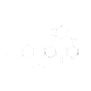 CC1(C)CC(Nc2nc(Nc3ccc(OC4CCN(CC(F)(F)F)CC4)c(OC(F)F)c3)ncc2F)CC(C)(C)N1